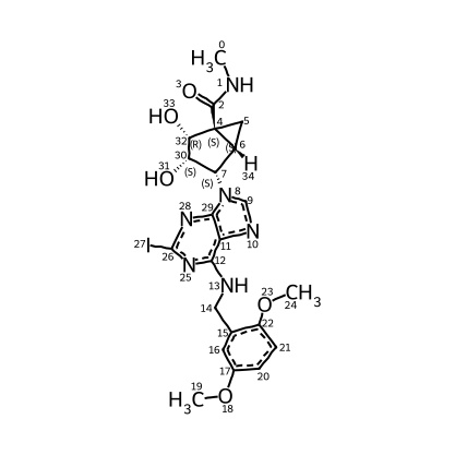 CNC(=O)[C@@]12C[C@@H]1[C@H](n1cnc3c(NCc4cc(OC)ccc4OC)nc(I)nc31)[C@H](O)[C@@H]2O